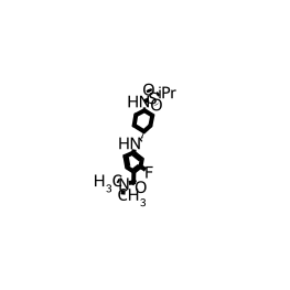 CC(C)S(=O)(=O)N[C@H]1CC[C@H](CNc2ccc(C(=O)N(C)C)c(F)c2)CC1